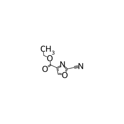 CCOC(=O)c1coc(C#N)n1